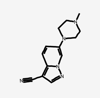 CN1CCN(c2ccc3c(C#N)cnn3c2)CC1